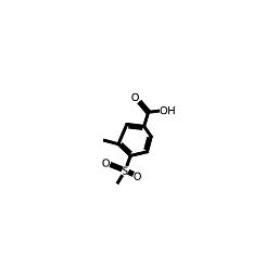 Cc1cc(C(=O)O)ccc1S(C)(=O)=O